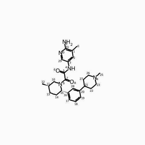 Cc1cc(NC(=O)C(=O)N2C[C@H](C)CC[C@H]2c2cccc(C3CCN(C)CC3)c2)cnc1N